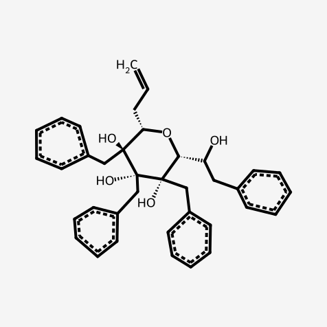 C=CC[C@@H]1O[C@H](C(O)Cc2ccccc2)[C@@](O)(Cc2ccccc2)[C@@](O)(Cc2ccccc2)[C@]1(O)Cc1ccccc1